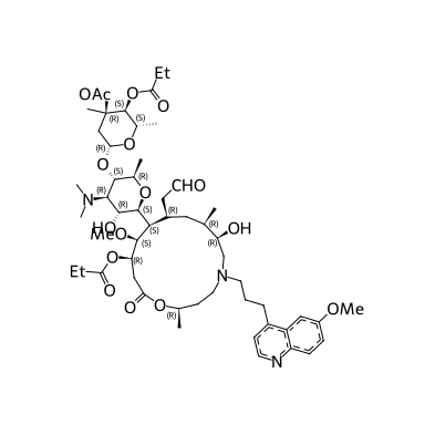 CCC(=O)O[C@@H]1CC(=O)O[C@H](C)CCN(CCCc2ccnc3ccc(OC)cc23)C[C@H](O)[C@H](C)C[C@H](CC=O)[C@H]([C@@H]2O[C@H](C)[C@@H](O[C@@H]3C[C@@](C)(OC(C)=O)[C@@H](OC(=O)CC)[C@H](C)O3)[C@H](N(C)C)[C@H]2O)[C@@H]1OC